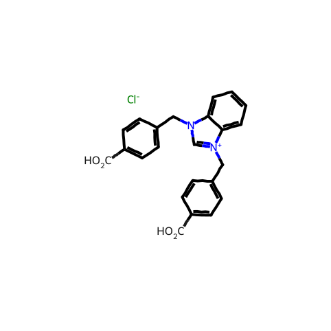 O=C(O)c1ccc(Cn2c[n+](Cc3ccc(C(=O)O)cc3)c3ccccc32)cc1.[Cl-]